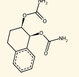 NC(=O)O[C@@H]1CCc2ccccc2[C@@H]1OC(N)=O